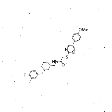 COc1ccc(-c2cnc(SCC(=O)NCC3CCCN(Cc4ccc(F)c(F)c4)C3)nc2)cc1